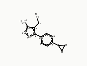 Cc1onc(-c2ccc(C3CC3)nc2)c1CCl